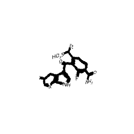 CCC(c1ccc(C(N)=O)c(F)c1C(=O)c1c[nH]c2ncc(I)cc12)S(=O)(=O)O